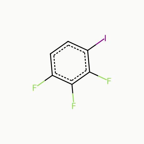 Fc1ccc(I)c(F)c1F